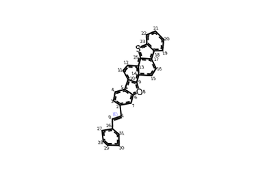 C(=C\c1ccc2c(c1)oc1c2ccc2c1ccc1c3ccccc3sc12)/c1ccccc1